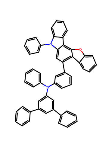 c1ccc(-c2cc(-c3ccccc3)cc(N(c3ccccc3)c3cccc(-c4cc5c(c6ccccc6n5-c5ccccc5)c5oc6ccccc6c45)c3)c2)cc1